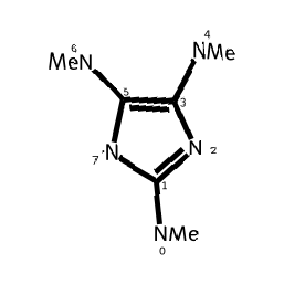 CNC1=NC(NC)=C(NC)[N]1